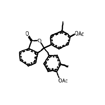 CC(=O)Oc1ccc(C2(c3ccc(OC(C)=O)c(C)c3)OC(=O)c3ccccc32)cc1C